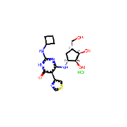 Cl.O=c1[nH]c(NC2CCC2)nc(N[C@@H]2C[C@H](CO)[C@@H](O)[C@H]2O)c1-c1cscn1